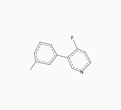 Cc1cccc(-c2cnccc2F)c1